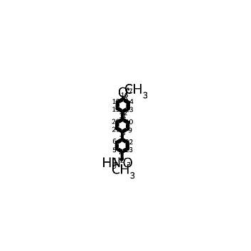 CNC(=O)c1ccc(-c2ccc(-c3ccc(OC)cc3)cc2)cc1